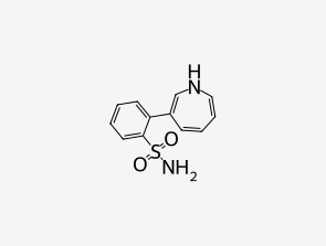 NS(=O)(=O)c1ccccc1C1=CNC=CC=C1